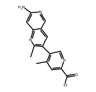 CCC(=O)c1cc(C)c(-c2cc3cnc(N)cc3nc2C)cn1